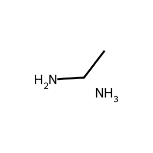 CCN.N